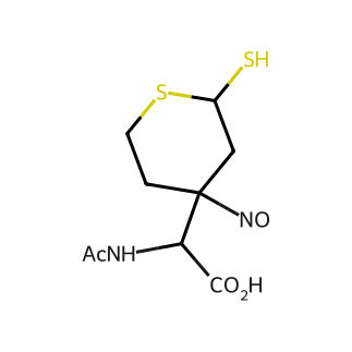 CC(=O)NC(C(=O)O)C1(N=O)CCSC(S)C1